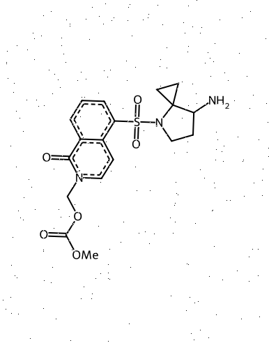 COC(=O)OCn1ccc2c(S(=O)(=O)N3CCC(N)C34CC4)cccc2c1=O